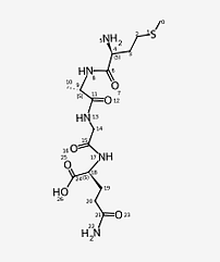 CSCC[C@H](N)C(=O)N[C@@H](C)C(=O)NCC(=O)N[C@@H](CCC(N)=O)C(=O)O